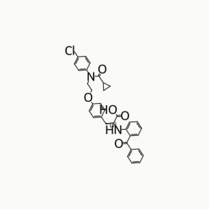 O=C(c1ccccc1)c1ccccc1N[C@@H](Cc1ccc(OCCN(C(=O)C2CC2)c2ccc(Cl)cc2)cc1)C(=O)O